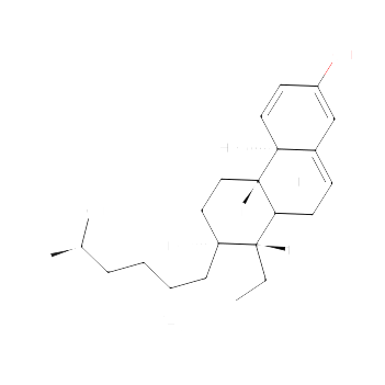 CC(C)[C@@H](C)CC[C@@H](C)[C@H]1CC[C@H]2[C@@H]3CC=C4C=C(O)C=C[C@]4(C)[C@H]3CC[C@]12C